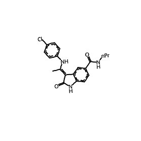 CCCNC(=O)c1ccc2c(c1)C(=C(C)Nc1ccc(Cl)cc1)C(=O)N2